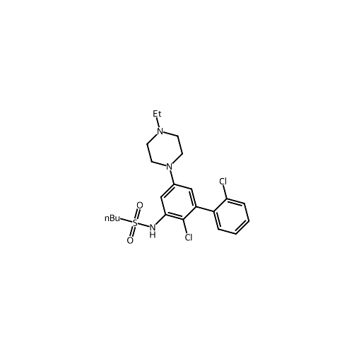 CCCCS(=O)(=O)Nc1cc(N2CCN(CC)CC2)cc(-c2ccccc2Cl)c1Cl